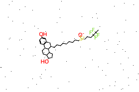 CC(F)(F)C(F)(F)CCC[S+]([O-])CCCCCCCCC[C@@H]1Cc2cc(O)ccc2C2CC[C@@]3(C)C(CC[C@@H]3O)C21